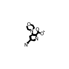 COC(=O)c1ncc(C#N)cc1N1CCOCC1